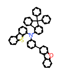 c1ccc(C2(c3ccccc3)c3ccccc3-c3c(N(c4cccc(-c5ccc6oc7ccccc7c6c5)c4)c4cccc5c4sc4ccccc45)cccc32)cc1